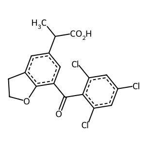 CC(C(=O)O)c1cc2c(c(C(=O)c3c(Cl)cc(Cl)cc3Cl)c1)OCC2